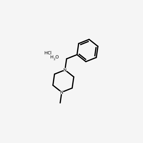 CN1CCN(Cc2ccccc2)CC1.Cl.O